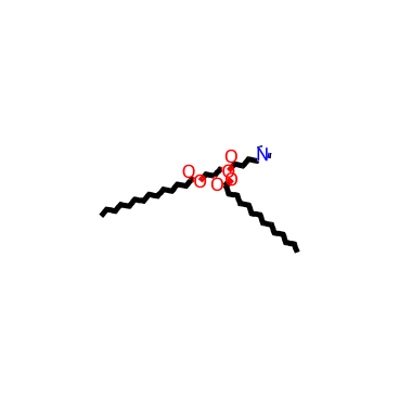 CCCCCCCCCCCCCC(=O)OCC(COC(=O)CCCN(C)C)OC(=O)CCCCCCCCCCCCC